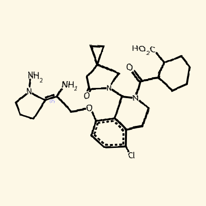 N/C(COc1ccc(Cl)c2c1C(N1CC3(CC3)CC1=O)N(C(=O)C1CCCCC1C(=O)O)CC2)=C1/CCCN1N